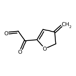 C=C1C=C(C(=O)C=O)OC1